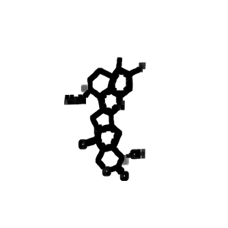 CN[C@H]1CCc2c(C)c(F)cc3nc4c(c1c23)Cn1c-4cc2c(c1=O)COC(=O)[C@H]2O